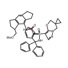 COCC1CCc2cc3c(c(NC(=O)N=S(=O)(NC(c4ccccc4)(c4ccccc4)c4ccccc4)c4cnn5c4OCC4(CC4)C5)c21)CCC3